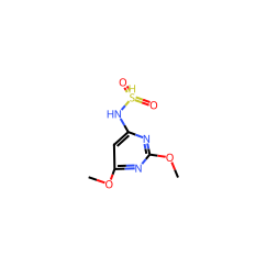 COc1cc(N[SH](=O)=O)nc(OC)n1